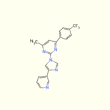 Cc1cc(-c2ccc(C(F)(F)F)cc2)nc(-n2cnc(-c3cccnc3)c2)n1